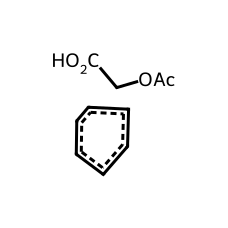 CC(=O)OCC(=O)O.c1ccccc1